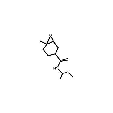 CSC(C)NC(=O)C1CCC2(C)OC2C1